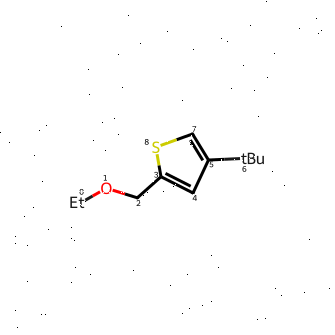 CCOCc1cc(C(C)(C)C)cs1